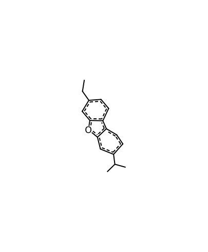 CCc1ccc2c(c1)oc1cc(C(C)C)ccc12